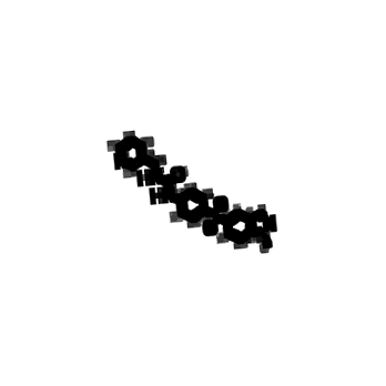 Cn1ncc2cc(S(=O)(=O)c3ccc(NC(=O)NCc4cccnc4)cc3)ccc21